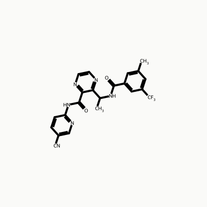 Cc1cc(C(=O)NC(C)c2nccnc2C(=O)Nc2ccc(C#N)cn2)cc(C(F)(F)F)c1